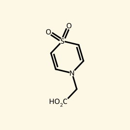 O=C(O)CN1C=CS(=O)(=O)C=C1